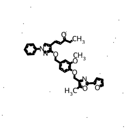 CCC(=O)C=Cc1cn(-c2ccccc2)nc1OCc1ccc(OCc2nc(-c3ccco3)oc2C)c(OC)c1